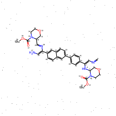 C=N/C=C(\NC1COCCN1C(=O)OC(C)(C)C)c1ccc(-c2ccc3cc(C(=C/N)/N=C/C4COCCN4C(=O)OC(C)(C)C)ccc3c2)cc1